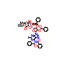 COP(=O)(OC)C(OC[C@H]1O[C@@H](n2cnc3c(N(C(=O)c4ccccc4)C(=O)c4ccccc4)nc(I)nc32)[C@H](OC(=O)c2ccccc2)[C@@H]1OC(=O)c1ccccc1)C(=O)OC(C)(C)C